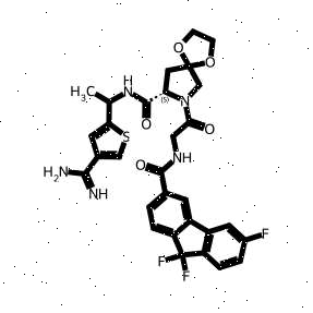 CC(NC(=O)[C@@H]1CC2(CN1C(=O)CNC(=O)c1ccc3c(c1)-c1cc(F)ccc1C3(F)F)OCCO2)c1cc(C(=N)N)cs1